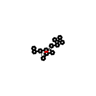 c1ccc(C2(c3ccccc3)c3ccccc3-c3c(-c4cccc(N(c5ccc(-c6ccc(-c7cccc8ccccc78)cc6)cc5)c5ccccc5-c5ccc6oc7ccccc7c6c5)c4)cccc32)cc1